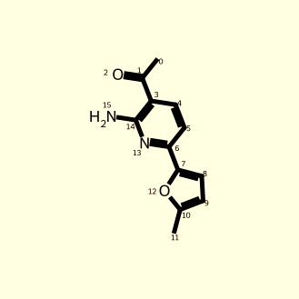 CC(=O)c1ccc(-c2ccc(C)o2)nc1N